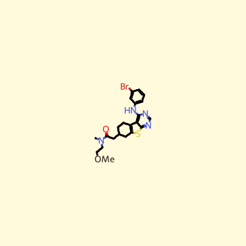 COCCN(C)C(=O)CC1CCc2c(sc3ncnc(Nc4cccc(Br)c4)c23)C1